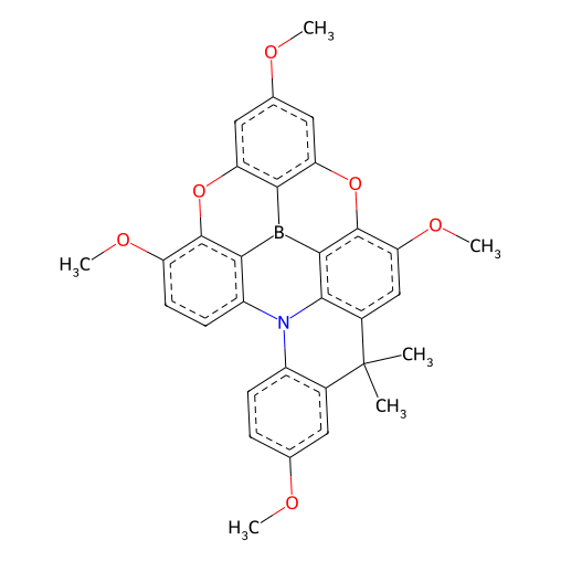 COc1cc2c3c(c1)Oc1c(OC)cc4c5c1B3c1c(ccc(OC)c1O2)N5c1ccc(OC)cc1C4(C)C